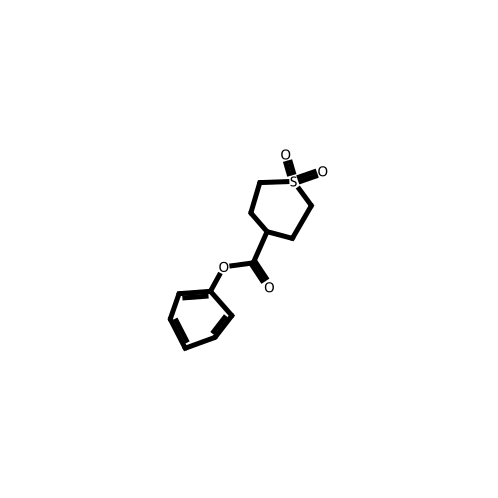 O=C(Oc1ccccc1)C1CCS(=O)(=O)CC1